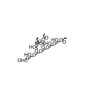 C=CC(=O)OCC(O)COCC(O)COCC(COCC(COCC(O)COC=O)OCC(O)COC(=O)C=C)OCC(O)COC(=O)C=C